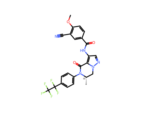 COc1ccc(C(=O)Nc2cnn3c2C(=O)N(c2ccc(C(F)(F)C(F)(F)F)cc2)[C@@H](C)C3)cc1C#N